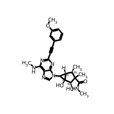 CNC(=O)C1(C)[C@H](C)[C@H]2C(n3cnc4c(NC)nc(C#Cc5cccc(OC)c5)nc43)[C@@]2(O)[C@@H]1O